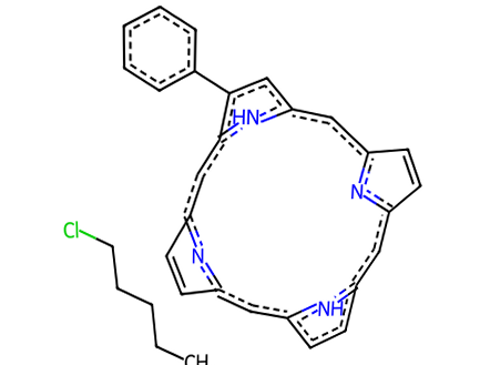 C1=Cc2cc3cc(-c4ccccc4)c(cc4nc(cc5ccc(cc1n2)[nH]5)C=C4)[nH]3.CCCCCCl